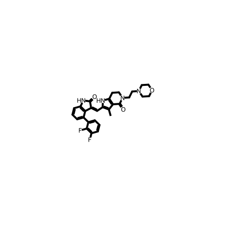 Cc1c(/C=C2\C(=O)Nc3cccc(-c4cccc(F)c4F)c32)[nH]c2c1C(=O)N(CCN1CCOCC1)CC2